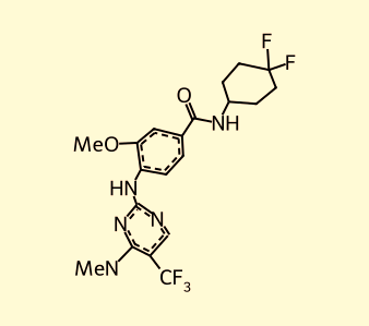 CNc1nc(Nc2ccc(C(=O)NC3CCC(F)(F)CC3)cc2OC)ncc1C(F)(F)F